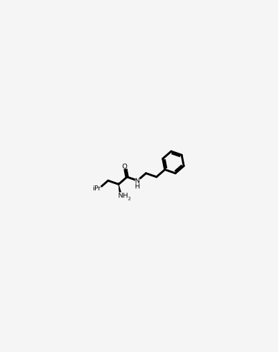 CC(C)C[C@H](N)C(=O)NCCc1ccccc1